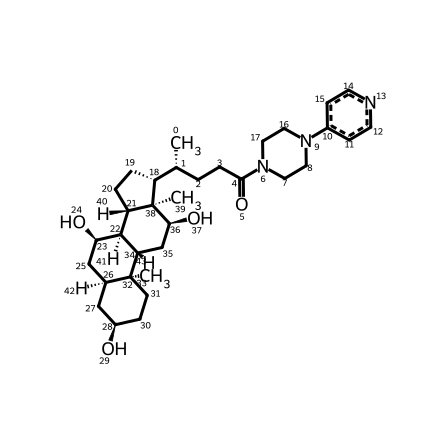 C[C@H](CCC(=O)N1CCN(c2ccncc2)CC1)[C@H]1CC[C@H]2[C@@H]3[C@H](O)C[C@@H]4C[C@H](O)CC[C@]4(C)[C@H]3C[C@H](O)[C@]12C